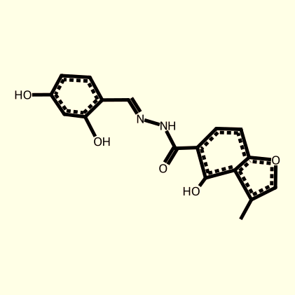 Cc1coc2ccc(C(=O)NN=Cc3ccc(O)cc3O)c(O)c12